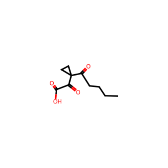 CCCCC(=O)C1(C(=O)C(=O)O)CC1